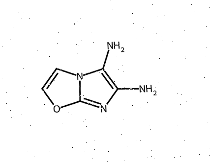 Nc1nc2occn2c1N